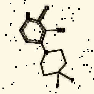 O=Nc1c(N2CCC(F)(F)CC2)cc[nH]c1=O